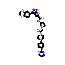 O=C(N[C@H]1CCN(CC(=O)N2CCN(c3ccc(-c4ncccn4)cc3)CC2)C1)c1cc2c(-c3ccc4c(c3)OCCO4)n[nH]c2s1